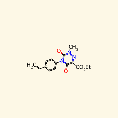 C=Cc1ccc(-n2c(=O)c(C(=O)OCC)nn(C)c2=O)cc1